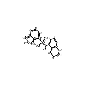 O=S(=O)(Nc1cccc2c1CCNC2)c1cccc2nsnc12